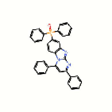 O=P(c1ccccc1)(c1ccccc1)c1ccc2c(c1)nc1nc(-c3ccccc3)cc(-c3ccccc3)n12